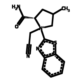 CC1C[C@@H](C(N)=O)[N+](CC#N)(c2nc3ccccc3s2)C1